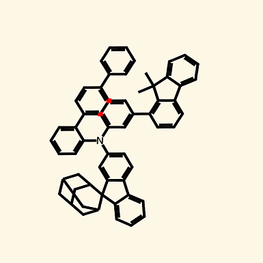 CC1(C)c2ccccc2-c2cccc(-c3cccc(N(c4ccc5c(c4)C4(c6ccccc6-5)C5CC6CC(C5)CC4C6)c4ccccc4-c4ccc(-c5ccccc5)cc4)c3)c21